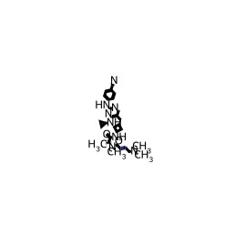 C[C@@H](C(=O)N[C@H]1C[C@@H](Cc2cnc(Nc3ccc(C#N)cc3)nc2NC2CC2)C1)N(C)C(=O)/C=C/CN(C)C